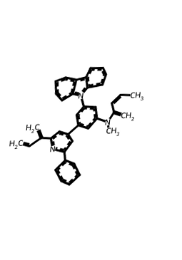 C=CC(=C)c1cc(-c2cc(N(C)C(=C)/C=C\C)cc(-n3c4ccccc4c4ccccc43)c2)cc(-c2ccccc2)n1